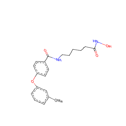 COc1cccc(Oc2ccc(C(=O)NCCCCCC(=O)NO)cc2)c1